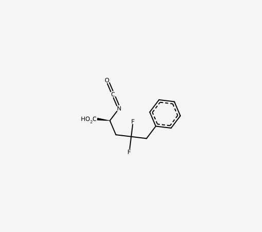 O=C=N[C@@H](CC(F)(F)Cc1ccccc1)C(=O)O